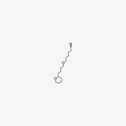 N#CCCCCCOCCCCC1CCCCO1